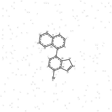 Brc1ccc(-c2cccc3ccccc23)c2c1C=CC2